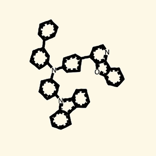 c1ccc(-c2cccc(N(c3ccc(-c4ccnc5c4oc4ccccc45)cc3)c3cccc(-n4c5ccccc5c5ccccc54)c3)c2)cc1